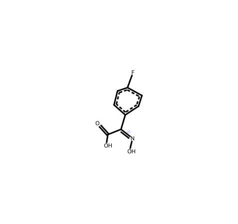 O=C(O)/C(=N\O)c1ccc(F)cc1